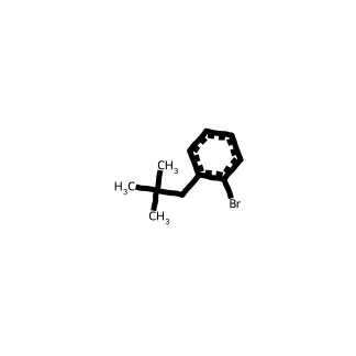 CC(C)(C)Cc1ccccc1Br